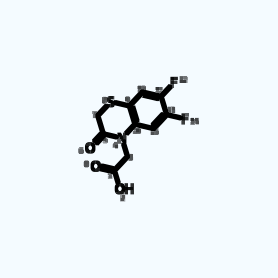 O=C(O)CN1C(=O)CSc2cc(F)c(F)cc21